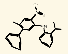 Cc1cc([N+](=O)[O-])c(Nc2ccccc2C(C)C)cc1-c1ccccc1